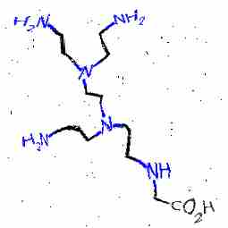 NCCN(CCN)CCN(CCN)CCNCC(=O)O